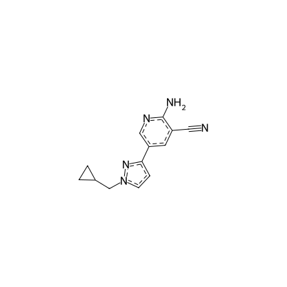 N#Cc1cc(-c2ccn(CC3CC3)n2)cnc1N